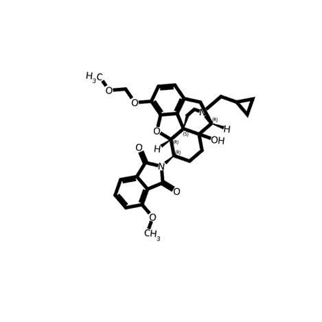 COCOc1ccc2c3c1O[C@H]1[C@H](N4C(=O)c5cccc(OC)c5C4=O)CCC4(O)[C@@H](C2)N(CC2CC2)CC[C@]314